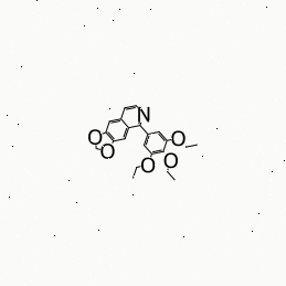 CCOc1cc(-c2nccc3cc4c(cc23)OCO4)cc(OCC)c1OCC